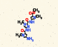 COC(=O)c1cc(NC(=O)c2nc(NC(=O)c3cc(N)cn3C)cn2C)cn1C